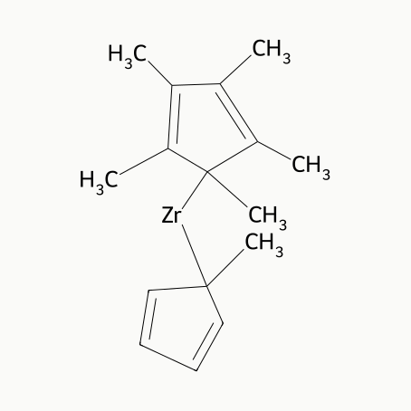 CC1=C(C)[C](C)([Zr][C]2(C)C=CC=C2)C(C)=C1C